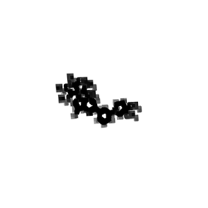 CC(C)[Si](C(C)C)(C(C)C)n1cc(I)c2nc(-c3cccc(N4CCC(C)(C)C4)c3)cnc21